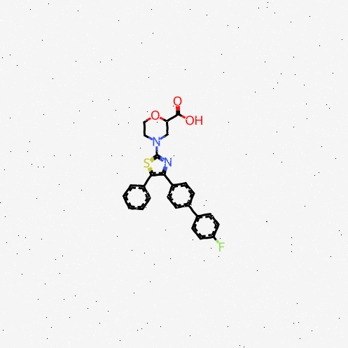 O=C(O)C1CN(c2nc(-c3ccc(-c4ccc(F)cc4)cc3)c(-c3ccccc3)s2)CCO1